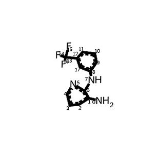 Nc1cccnc1Nc1cccc(C(F)(F)F)c1